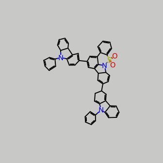 O=S1(=O)c2ccccc2-c2cc(-c3ccc4c(c3)C3C=CC=CC3N4c3ccccc3)cc3c2N1C1C=CC(C2C=c4c(n(-c5ccccc5)c5ccccc45)=CC2)=CC31